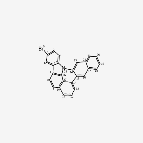 Brc1ccc2c(c1)c1ccc3cccc4c5cc6ccccc6cc5n2c1c34